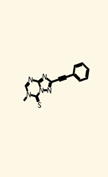 Cn1cnc2nc(C#Cc3ccccc3)nn2c1=S